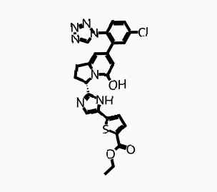 CCOC(=O)c1ccc(-c2cnc([C@@H]3CCC4=CC(c5cc(Cl)ccc5-n5cnnn5)=CC(O)N43)[nH]2)s1